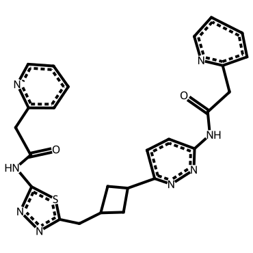 O=C(Cc1ccccn1)Nc1ccc(C2CC(Cc3nnc(NC(=O)Cc4ccccn4)s3)C2)nn1